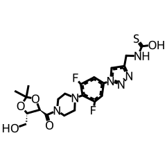 CC1(C)O[C@@H](CO)[C@H](C(=O)N2CCN(c3c(F)cc(-n4cc(CNC(O)=S)nn4)cc3F)CC2)O1